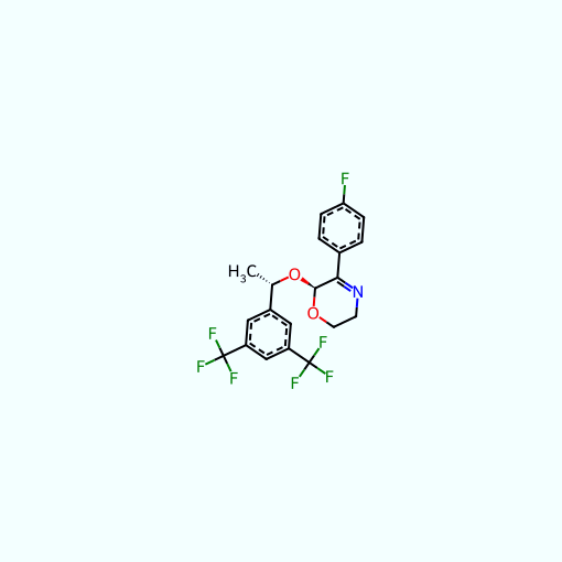 C[C@H](O[C@@H]1OCCN=C1c1ccc(F)cc1)c1cc(C(F)(F)F)cc(C(F)(F)F)c1